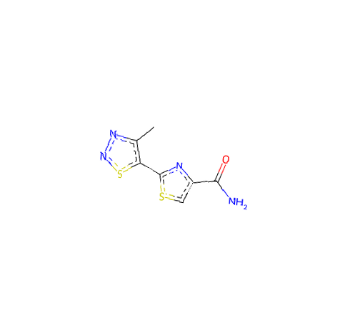 Cc1nnsc1-c1nc(C(N)=O)cs1